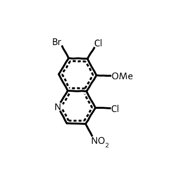 COc1c(Cl)c(Br)cc2ncc([N+](=O)[O-])c(Cl)c12